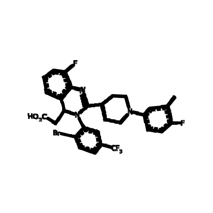 Cc1cc(N2CCC(C3=Nc4c(F)cccc4C(CC(=O)O)N3c3cc(C(F)(F)F)ccc3Br)CC2)ccc1F